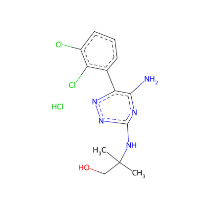 CC(C)(CO)Nc1nnc(-c2cccc(Cl)c2Cl)c(N)n1.Cl